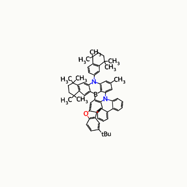 Cc1cc2c3c(c1)N(c1ccccc1-c1ccccc1)c1cc4c(cc1B3c1cc3c(cc1N2c1ccc2c(c1)C(C)(C)CCC2(C)C)C(C)(C)CCC3(C)C)oc1ccc(C(C)(C)C)cc14